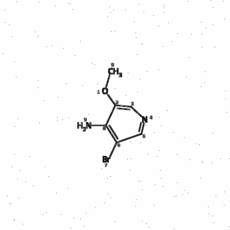 COc1cncc(Br)c1N